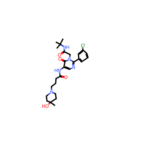 CC1(O)CCN(CCCC(=O)Nc2cnc(-c3cccc(Cl)c3)n(CC(=O)NC(C)(C)C)c2=O)CC1